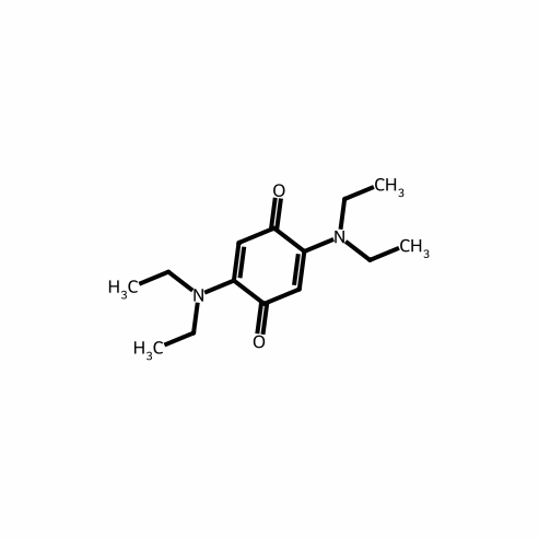 CCN(CC)C1=CC(=O)C(N(CC)CC)=CC1=O